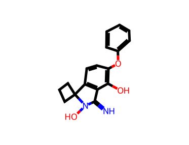 N=C1c2c(ccc(Oc3ccccc3)c2O)C2(CCC2)N1O